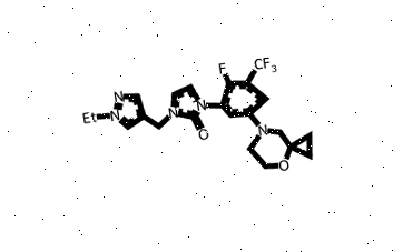 CCn1cc(Cn2ccn(-c3cc(N4CCOC5(CC5)C4)cc(C(F)(F)F)c3F)c2=O)cn1